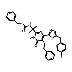 Cn1c(C(C)(C)NC(=O)OCc2ccccc2)nc(-c2ncc(Cc3ccc(F)cc3)o2)c(OCc2ccccc2)c1=O